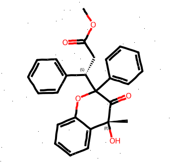 COC(=O)C[C@@H](c1ccccc1)C1(c2ccccc2)Oc2ccccc2[C@@](C)(O)C1=O